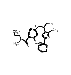 COc1cc(NC(CC(C)C)c2cc(-c3ccccc3)oc2C)ccc1C(=O)N(C)CCC(=O)O